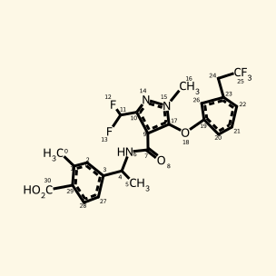 Cc1cc(C(C)NC(=O)c2c(C(F)F)nn(C)c2Oc2cccc(CC(F)(F)F)c2)ccc1C(=O)O